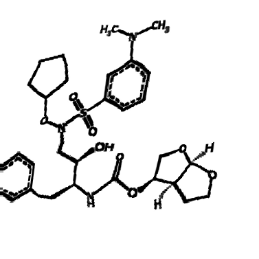 CN(C)c1cccc(S(=O)(=O)N(C[C@@H](O)[C@H](Cc2ccccc2)NC(=O)O[C@H]2CO[C@H]3OCC[C@H]32)OC2CCCC2)c1